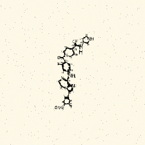 COc1ccc(-c2cnc3c(Nc4ccc(C(=O)N5CCC(C(=O)N[C@H]6CCNC6)CC5)c(C)c4)nccn23)cc1F